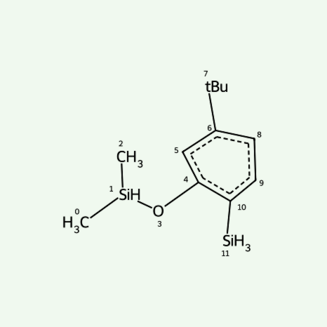 C[SiH](C)Oc1cc(C(C)(C)C)ccc1[SiH3]